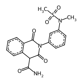 CN(c1cccc(N2C(=O)c3ccccc3C(C(N)=O)C2=O)c1)S(C)(=O)=O